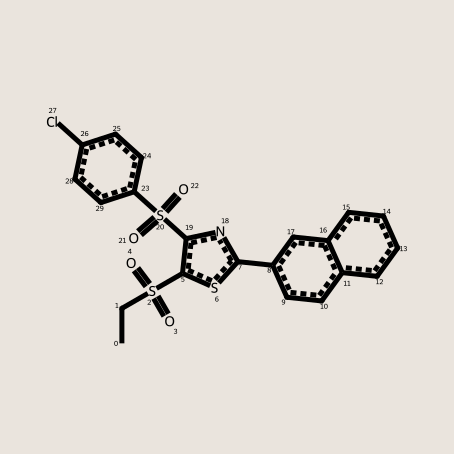 CCS(=O)(=O)c1sc(-c2ccc3ccccc3c2)nc1S(=O)(=O)c1ccc(Cl)cc1